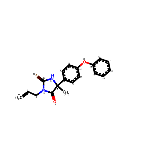 C=CCN1C(=O)C(C)(c2ccc(Oc3ccccc3)cc2)NC1=S